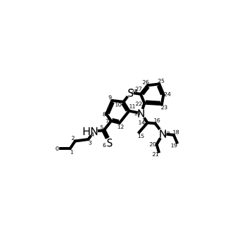 CCCCNC(=S)c1ccc2c(c1)N(C(C)CN(CC)CC)c1ccccc1S2